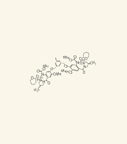 C=C1C[C@H]2[C@H](OC3CCCCO3)N(C(=O)OC(C)(C)C)c3cc(OCc4cc(I)cc(COc5cc6c(cc5OC)C(=O)N5CC(=C)C[C@H]5[C@H](OC5CCCCO5)N6C(=O)OC(C)(C)C)c4)c(OC)cc3C(=O)N2C1